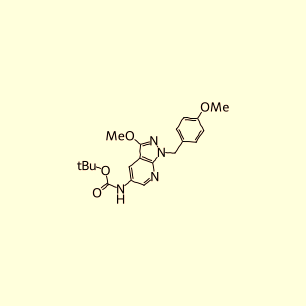 COc1ccc(Cn2nc(OC)c3cc(NC(=O)OC(C)(C)C)cnc32)cc1